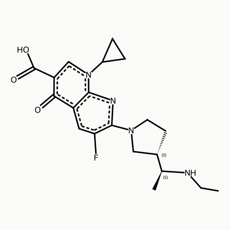 CCN[C@@H](C)[C@H]1CCN(c2nc3c(cc2F)c(=O)c(C(=O)O)cn3C2CC2)C1